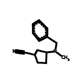 CN(Cc1ccccc1)C1CCC(C#N)C1